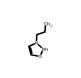 [CH2]CCN1C=CON1